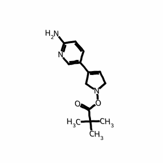 CC(C)(C)C(=O)ON1CC=C(c2ccc(N)nc2)C1